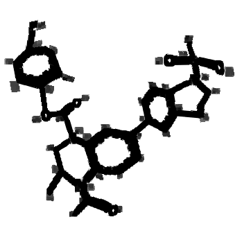 CC(=O)N1c2ccc(-c3ccc4c(c3)CCN4S(C)(=O)=O)cc2N(C(=O)Oc2ccc(F)cc2)CC1C